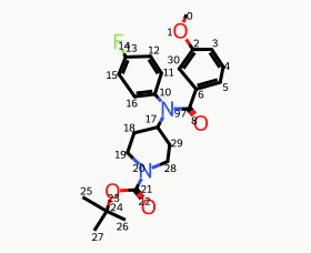 COc1cccc(C(=O)N(c2ccc(F)cc2)C2CCN(C(=O)OC(C)(C)C)CC2)c1